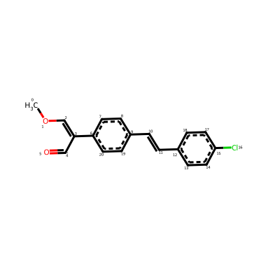 COC=C([C]=O)c1ccc(C=Cc2ccc(Cl)cc2)cc1